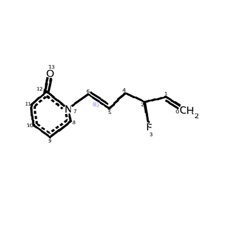 C=CC(F)C/C=C/n1ccccc1=O